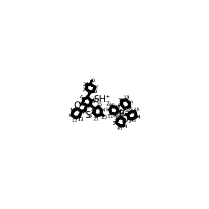 Cc1ccc(-c2cc3oc4ccccc4c(=S)c3c(-c3ccc(C)cc3)c2[SH2+])cc1.c1ccc([B-](c2ccccc2)(c2ccccc2)c2ccccc2)cc1